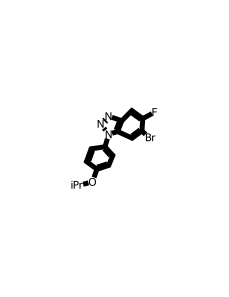 CC(C)Oc1ccc(-n2nnc3cc(F)c(Br)cc32)cc1